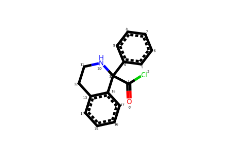 O=C(Cl)C1(c2ccccc2)NCCc2ccccc21